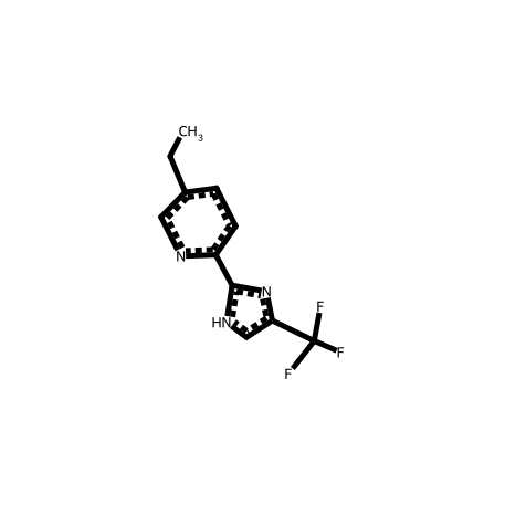 CCc1ccc(-c2nc(C(F)(F)F)c[nH]2)nc1